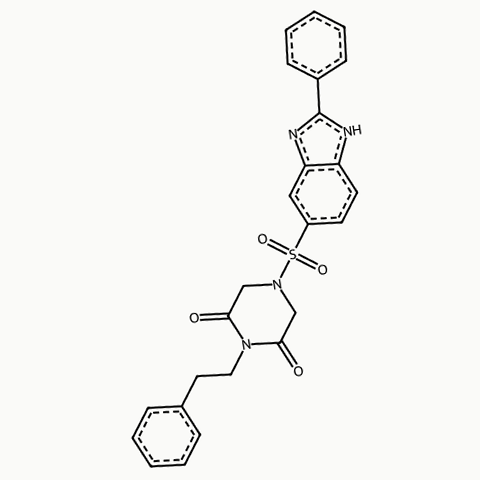 O=C1CN(S(=O)(=O)c2ccc3[nH]c(-c4ccccc4)nc3c2)CC(=O)N1CCc1ccccc1